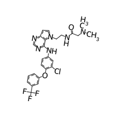 CN(C)CC(=O)NCCn1ccc2ncnc(Nc3ccc(Oc4cccc(C(F)(F)F)c4)c(Cl)c3)c21